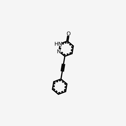 O=c1ccc(C#Cc2ccccc2)n[nH]1